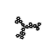 c1ccc(N(c2ccccc2)c2ccc(-c3ccc(N(c4ccc(-c5ccc6c7ccccc7c7ccccc7c6c5)cc4)c4ccc(-c5ccc(-c6ccc7c(c6)c6ccccc6n7-c6ccccc6)c6ccccc56)cc4)cc3)c3ccccc23)cc1